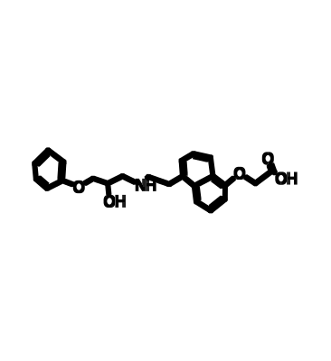 O=C(O)COc1cccc2c(CCNCC(O)COc3ccccc3)cccc12